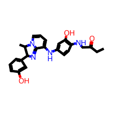 CCC(=O)CNc1ccc(NC2=CC=CN3C2=NC(c2cccc(O)c2)C3C)cc1O